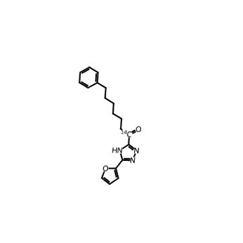 O=[14C](CCCCCCc1ccccc1)c1nnc(-c2ccco2)[nH]1